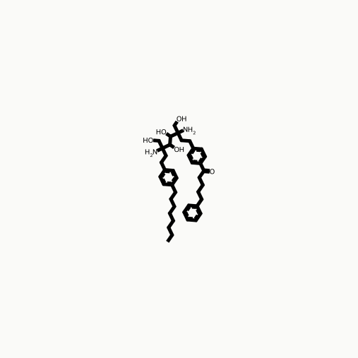 CCCCCCCCc1ccc(CCC(N)(CO)C(O)C(O)C(N)(CO)CCc2ccc(C(=O)CCCCc3ccccc3)cc2)cc1